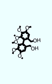 COc1cc(CO)c(-c2c(CO)cc(OC)c(OC)c2OC)c(OC)c1OC